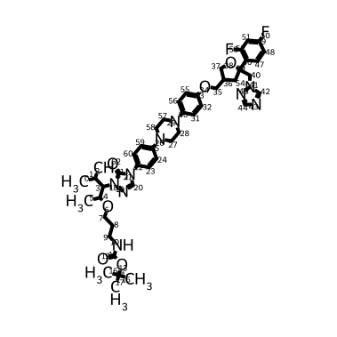 CC(C)C(C(C)OCCCNC(=O)OC(C)(C)C)n1ncn(-c2ccc(N3CCN(c4ccc(OCC5COC(Cn6cncn6)(c6ccc(F)cc6F)C5)cc4)CC3)cc2)c1=O